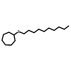 CCCCCCCCCCSC1CCCCCC1